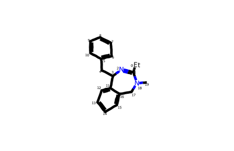 CCC1=NC(Cc2ccccc2)c2ccccc2CN1C